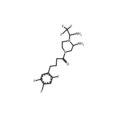 NC1CN(C(=O)CCCc2cc(F)c(F)cc2F)CCN1C(N)C(F)(F)F